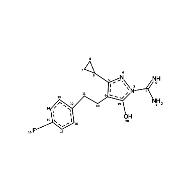 N=C(N)n1nc(C2CC2)c(CCc2ccc(F)cc2)c1O